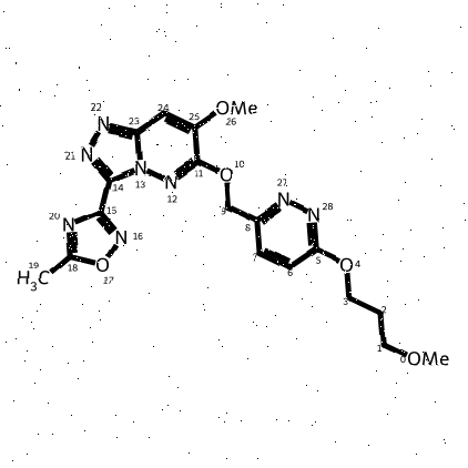 COCCCOc1ccc(COc2nn3c(-c4noc(C)n4)nnc3cc2OC)nn1